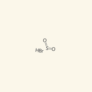 Br.O=S=O